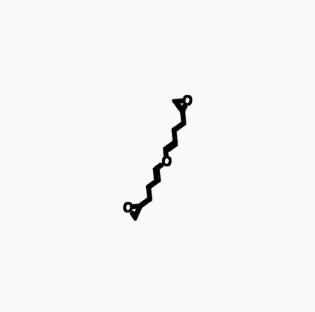 C(=COC=CCCC1CO1)CCC1CO1